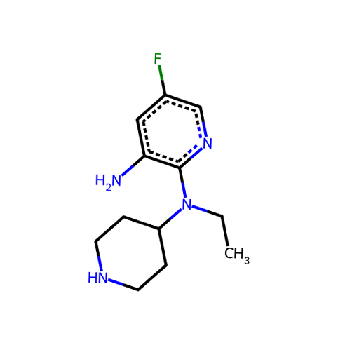 CCN(c1ncc(F)cc1N)C1CCNCC1